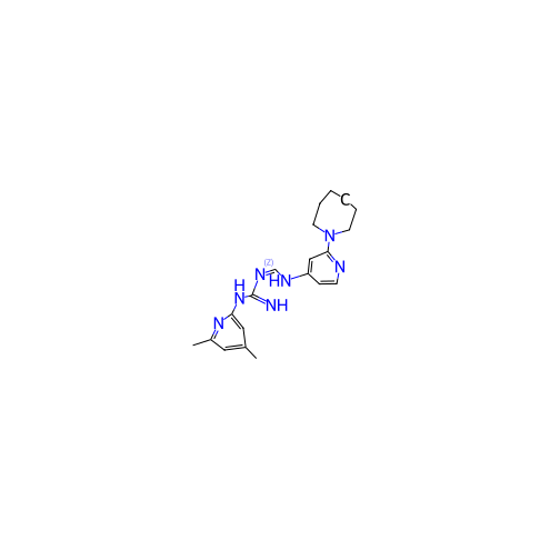 Cc1cc(C)nc(NC(=N)/N=C\Nc2ccnc(N3CCCCCC3)c2)c1